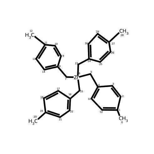 Cc1ccc([CH2][Zr]([CH2]c2ccc(C)cc2)([CH2]c2ccc(C)cc2)[CH2]c2ccc(C)cc2)cc1